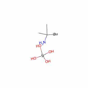 CCC(C)C(C)(C)N.O[Si](O)(O)O